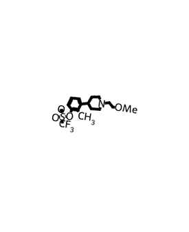 COCCN1CCC(c2cccc(OS(=O)(=O)C(F)(F)F)c2C)CC1